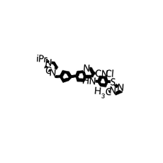 CC(C)N1CCN(Cc2ccc(-c3ccc4c(Nc5ccc(Sc6nccn6C)c(Cl)c5)c(C#N)cnc4c3)cc2)CC1